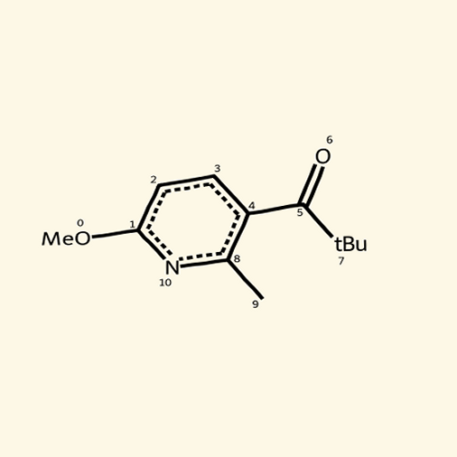 COc1ccc(C(=O)C(C)(C)C)c(C)n1